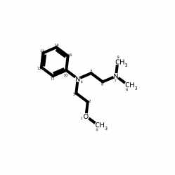 COCCN(CCN(C)C)c1ccccc1